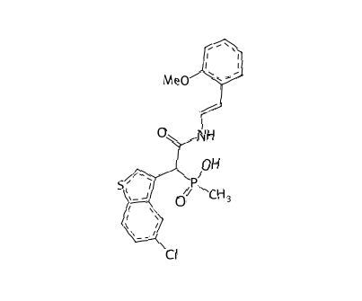 COc1ccccc1C=CNC(=O)C(c1csc2ccc(Cl)cc12)P(C)(=O)O